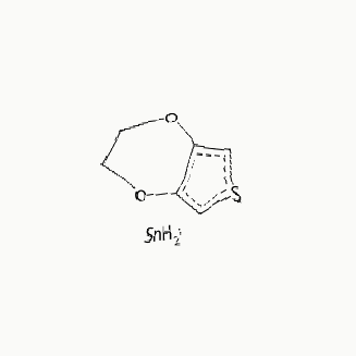 [SnH2].c1scc2c1OCCO2